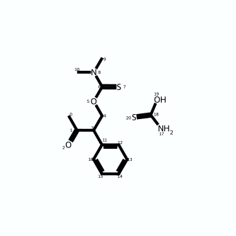 CC(=O)C(COC(=S)N(C)C)c1ccccc1.NC(O)=S